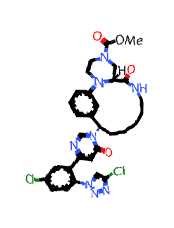 COC(=O)N1CCN2c3cccc(c3)[C@@H](n3cnc(-c4cc(Cl)ccc4-n4cc(Cl)nn4)cc3=O)CCCCCNC(=O)[C@H]2C1